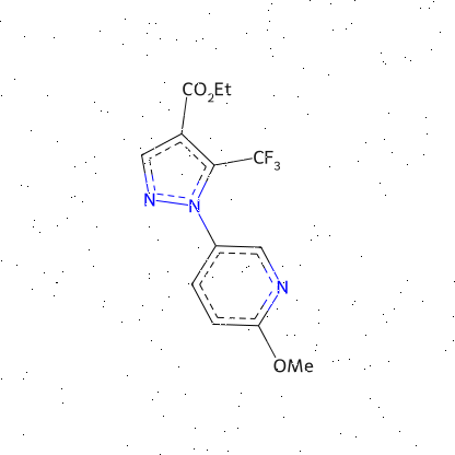 CCOC(=O)c1cnn(-c2ccc(OC)nc2)c1C(F)(F)F